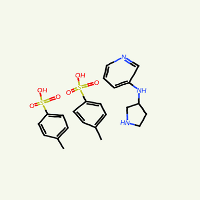 Cc1ccc(S(=O)(=O)O)cc1.Cc1ccc(S(=O)(=O)O)cc1.c1cncc(NC2CCNC2)c1